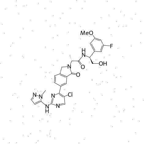 COc1cc(F)cc([C@@H](CO)NC(=O)[C@@H](C)N2Cc3ccc(-c4nc(Nc5ccnn5C)ncc4Cl)cc3C2=O)c1